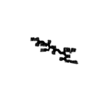 CCCCCC(=O)N[C@@H](CCC(=O)N[C@@H](CS)C(=O)NCC(=O)OC)C(=O)OCC